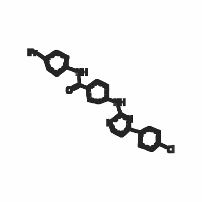 CC(C)c1ccc(NC(=O)c2ccc(Nc3nccc(-c4ccc(Cl)cc4)n3)cc2)cc1